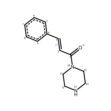 O=C(/C=C/c1ccccc1)N1CCNCC1